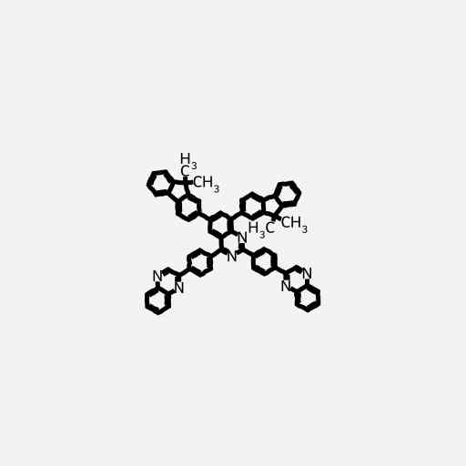 CC1(C)c2ccccc2-c2ccc(-c3cc(-c4ccc5c(c4)C(C)(C)c4ccccc4-5)c4nc(-c5ccc(-c6cnc7ccccc7n6)cc5)nc(-c5ccc(-c6cnc7ccccc7n6)cc5)c4c3)cc21